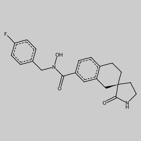 O=C(c1ccc2c(c1)C[C@]1(CCNC1=O)CC2)N(O)Cc1ccc(F)cc1